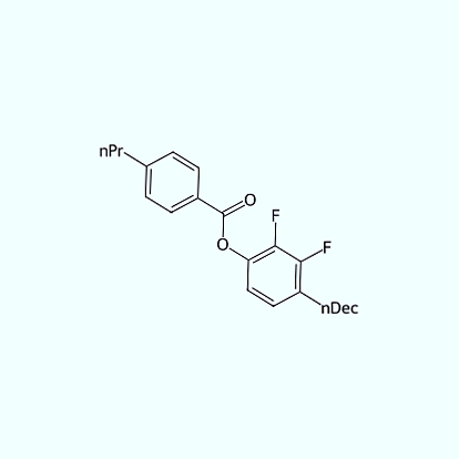 CCCCCCCCCCc1ccc(OC(=O)c2ccc(CCC)cc2)c(F)c1F